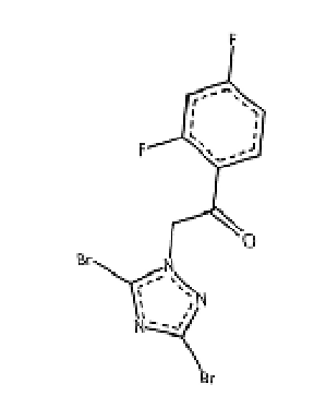 O=C(Cn1nc(Br)nc1Br)c1ccc(F)cc1F